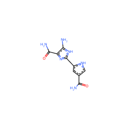 NC(=O)c1c[nH]c(-c2nc(C(N)=O)c(N)[nH]2)c1